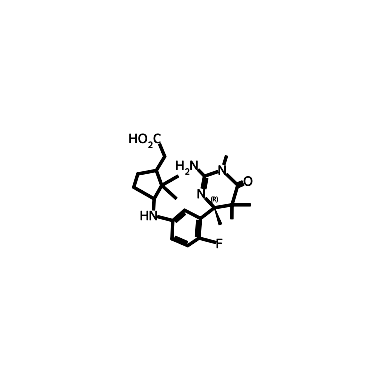 CN1C(=O)C(C)(C)[C@](C)(c2cc(NC3CCC(CC(=O)O)C3(C)C)ccc2F)N=C1N